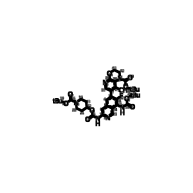 Cc1c(-c2cc3cc(NC(=O)OC4CCN(C(=O)OC(C)(C)C)CC4)ncc3c(NC(=O)OC(C)(C)C)c2F)cnc2c1N(C(=O)OC(C)(C)C)CCO2